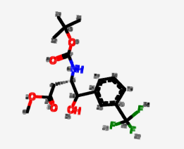 COC(=O)C[C@H](NC(=O)OC(C)(C)C)C(O)c1cccc(C(F)(F)F)c1